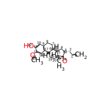 C=CC[C@H]1C[C@H]2[C@@H]3CCc4cc(O)c(OC)cc4[C@H]3CC[C@]2(C)C1=O